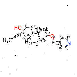 CC#C[C@@]1(O)CC[C@@]2(CCCCC)c3ccc(OCc4ccncc4)cc3CC[C@@H]2C1